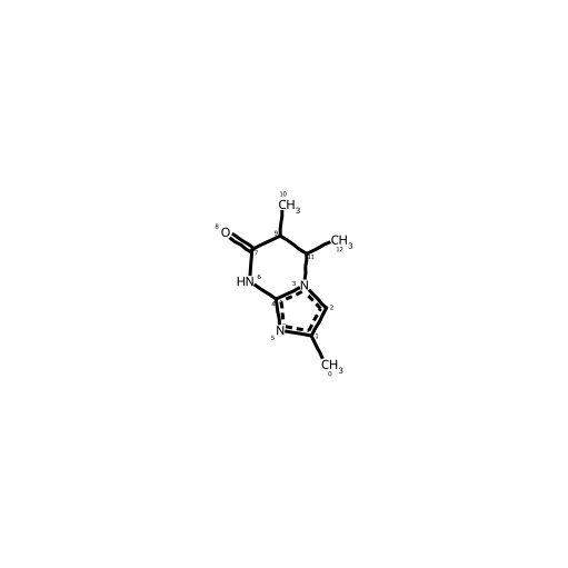 Cc1cn2c(n1)NC(=O)C(C)C2C